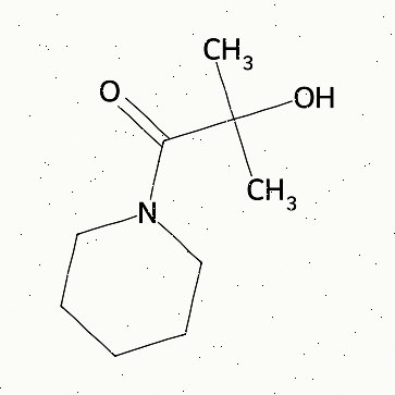 CC(C)(O)C(=O)N1CCCCC1